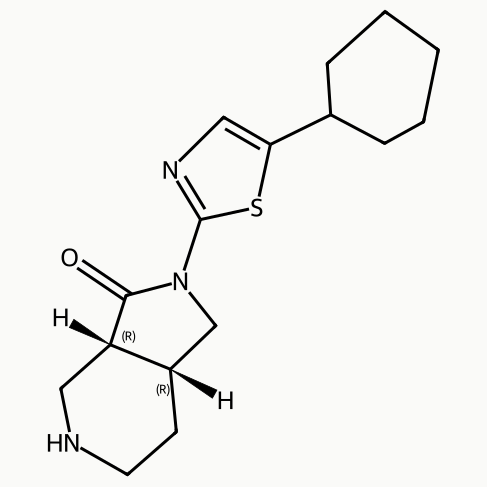 O=C1[C@H]2CNCC[C@H]2CN1c1ncc(C2CCCCC2)s1